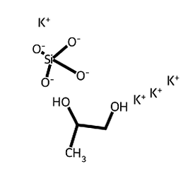 CC(O)CO.[K+].[K+].[K+].[K+].[O-][Si]([O-])([O-])[O-]